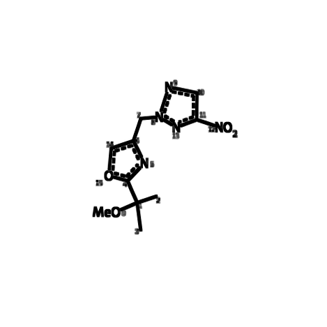 COC(C)(C)c1nc(Cn2ncc([N+](=O)[O-])n2)co1